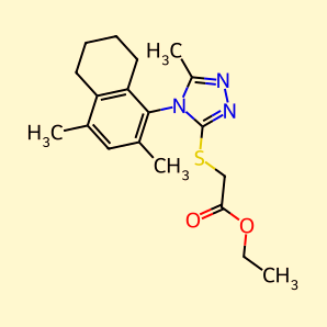 CCOC(=O)CSc1nnc(C)n1-c1c(C)cc(C)c2c1CCCC2